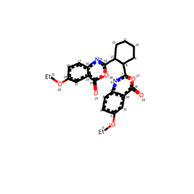 CCOc1ccc2nc(C3CCCCC3c3nc4ccc(OCC)cc4c(=O)o3)oc(=O)c2c1